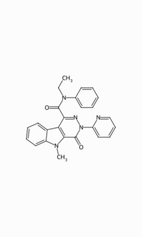 CCN(C(=O)c1nn(-c2ccccn2)c(=O)c2c1c1ccccc1n2C)c1ccccc1